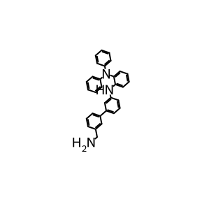 NCc1cccc(-c2cccc(Nc3ccccc3N(c3ccccc3)c3ccccc3)c2)c1